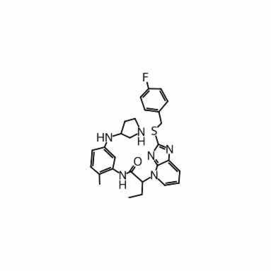 CCC(C(=O)Nc1cc(NC2CCNC2)ccc1C)n1cccc2nc(SCc3ccc(F)cc3)nc1-2